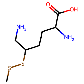 CSSC(CN)CCC(N)C(=O)O